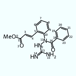 COC(=O)C=Cc1[c]cccc1N(NC(=N)N)C(=O)c1ccccc1